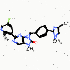 CC(C)c1ncc(F)cc1-c1ncc2c(n1)n(Cc1ccc(-c3nc(C(F)(F)F)cn3C)cc1)c(=O)n2C